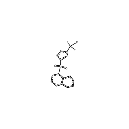 O=S(=O)(c1nnc(C(F)(F)F)s1)c1cccc2ccccc12